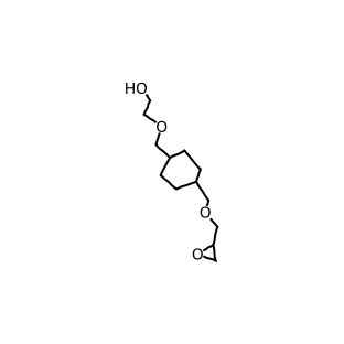 OCCOCC1CCC(COCC2CO2)CC1